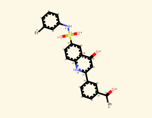 CCc1cccc(NS(=O)(=O)c2ccc3[nH]c(-c4cccc(C(=O)C(C)C)c4)cc(=O)c3c2)c1